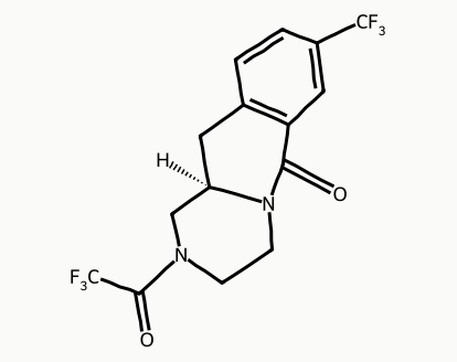 O=C1c2cc(C(F)(F)F)ccc2C[C@@H]2CN(C(=O)C(F)(F)F)CCN12